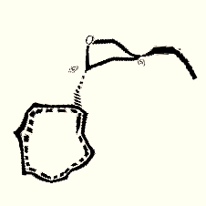 C[CH][C@@H]1O[C@H]1c1ccccc1